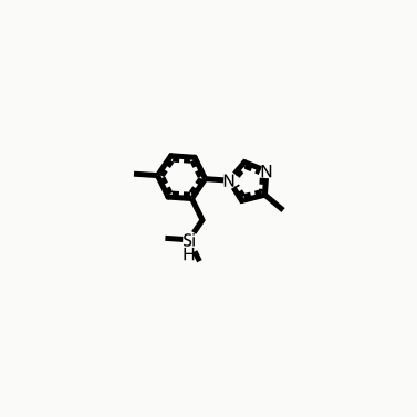 Cc1ccc(-n2cnc(C)c2)c(C[SiH](C)C)c1